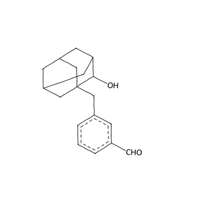 O=Cc1cccc(CC23CC4CC(CC(C4)C2O)C3)c1